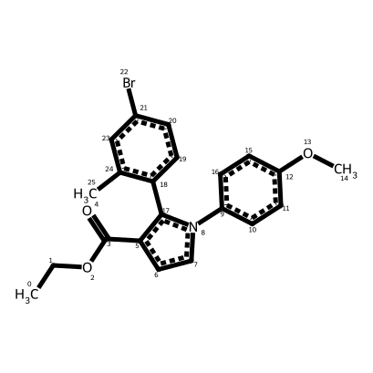 CCOC(=O)c1ccn(-c2ccc(OC)cc2)c1-c1ccc(Br)cc1C